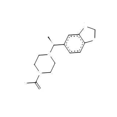 C[C@@H](c1ccc2c(c1)OCO2)N1CCN(C(N)=S)CC1